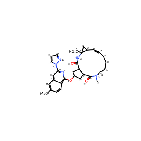 COc1ccc2c(OC3CC4C(=O)NC5(C(=O)O)CC5C=CCCCCN(C)C(=O)C4C3)nc(-n3cccn3)cc2c1